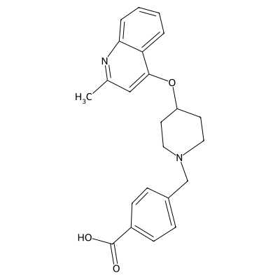 Cc1cc(OC2CCN(Cc3ccc(C(=O)O)cc3)CC2)c2ccccc2n1